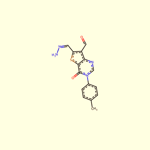 Cc1ccc(-n2cnc3c(C=O)c(/C=N\N)sc3c2=O)cc1